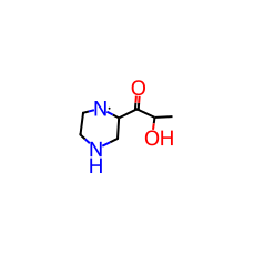 CC(O)C(=O)C1CNCC[N]1